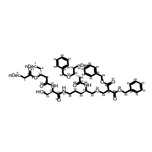 CCCCCCCCCCCC(=O)O[C@H](CCCCCCCCCCC)CC(=O)N[C@H](CO)C(=O)NCCC[C@H](COCC(C(=O)OCc1ccccc1)C(=O)OCc1ccccc1)NC(=O)C[C@@H](CCCCCCCCCCC)OCc1ccccc1